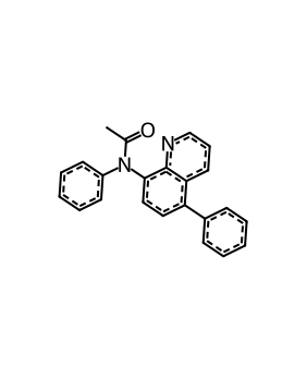 CC(=O)N(c1ccccc1)c1ccc(-c2ccccc2)c2cccnc12